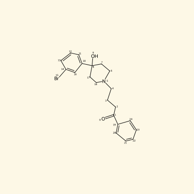 O=C(CCCN1CCC(O)(c2cccc(Br)c2)CC1)c1ccccc1